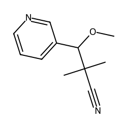 COC(c1cccnc1)C(C)(C)C#N